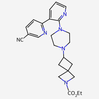 CCOC(=O)N1CC2(CC(N3CCN(c4ncccc4-c4ccc(C#N)cn4)CC3)C2)C1